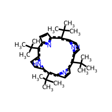 CC(C)(C)c1c2nc(c(C(C)(C)C)c3ccc([nH]3)c(C(C)(C)C)c3nc(c(C(C)(C)C)c4ccc1[nH]4)C=C3)C=C2